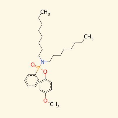 CCCCCCCCN(CCCCCCCC)P(=O)(Oc1ccc(OC)cc1)c1ccccc1